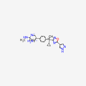 C=C(/N=C\C(=C/N)c1ccc([C@](C)(c2noc(-c3cn[nH]c3)n2)C2CC2)cc1)NC